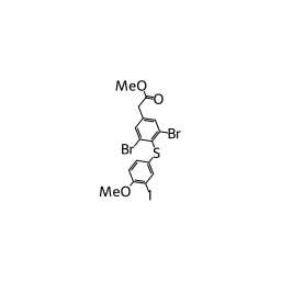 COC(=O)Cc1cc(Br)c(Sc2ccc(OC)c(I)c2)c(Br)c1